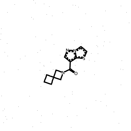 O=C(c1cnn2ccsc12)N1CC2(CCC2)C1